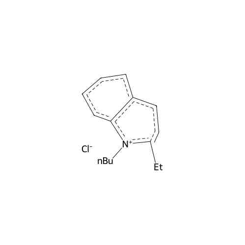 CCCC[n+]1c(CC)ccc2ccccc21.[Cl-]